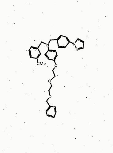 COc1cccc(CN(Cc2ccc(-n3cccn3)cc2)c2ccc(OCCOCCOCc3ccccc3)cc2)c1